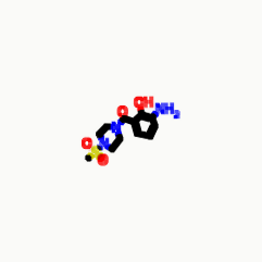 CS(=O)(=O)N1CCN(C(=O)c2cccc(N)c2O)CC1